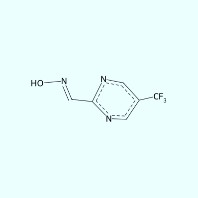 O/N=C/c1ncc(C(F)(F)F)cn1